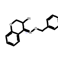 CCC1COc2ccccc2/C1=N/OCc1ccccc1